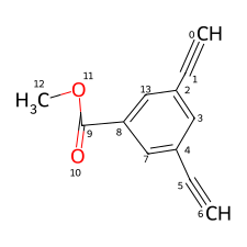 C#Cc1cc(C#C)cc(C(=O)OC)c1